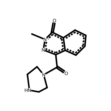 Cn1nc(C(=O)N2CCNCC2)c2ccccc2c1=O